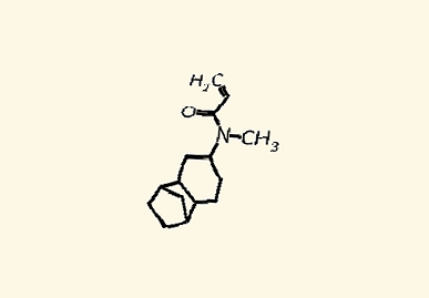 C=CC(=O)N(C)C1CCC2C3CCC(C3)C2C1